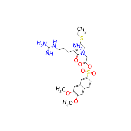 CCSCCN(CC(=O)OS(=O)(=O)c1ccc2cc(OC)c(OC)cc2c1)C(=O)[C@@H](N)CCCNC(=N)N